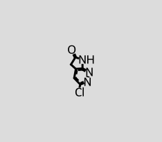 O=C1Cc2cc(Cl)nnc2N1